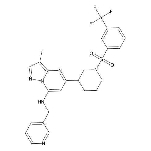 Cc1cnn2c(NCc3cccnc3)cc(C3CCCN(S(=O)(=O)c4cccc(C(F)(F)F)c4)C3)nc12